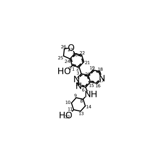 Oc1c(-c2nnc(NC3CCC(O)CC3)c3cnccc23)ccc2c1CCO2